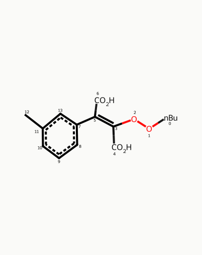 CCCCOO/C(C(=O)O)=C(\C(=O)O)c1cccc(C)c1